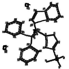 C[Si](C)(C)C1=CC[C]([Zr+2](=[C](c2ccccc2)c2ccccc2)[CH]2C=Cc3ccccc32)=C1.[Cl-].[Cl-]